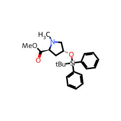 COC(=O)[C@@H]1C[C@@H](O[Si](c2ccccc2)(c2ccccc2)C(C)(C)C)CN1C